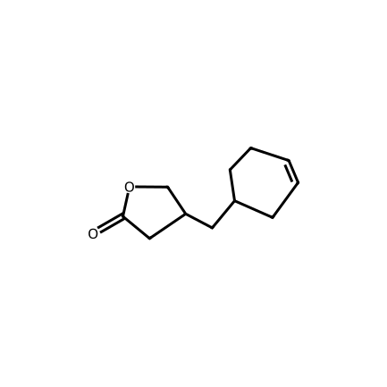 O=C1CC(CC2CC=CCC2)CO1